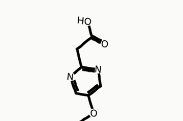 COc1cnc(CC(=O)O)nc1